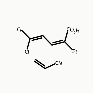 C=CC#N.CCC(=CC=C(Cl)Cl)C(=O)O